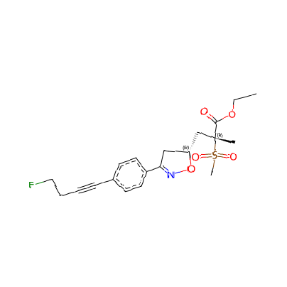 CCOC(=O)[C@@](C)(C[C@H]1CC(c2ccc(C#CCCF)cc2)=NO1)S(C)(=O)=O